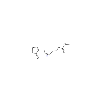 COC(=O)CCC/C=C\CC1=CCCC1=O